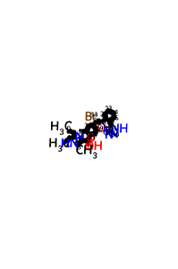 CCCC1(CC)NC(C)=C(C(=O)O)N1Cc1ccc2oc(-c3ccccc3-c3nnn[nH]3)c(Br)c2c1